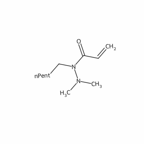 C=CC(=O)N(CCCCCC)N(C)C